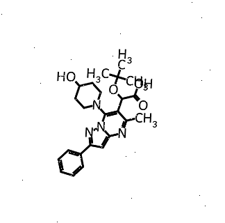 Cc1nc2cc(-c3ccccc3)nn2c(N2CCC(O)CC2)c1C(OC(C)(C)C)C(=O)O